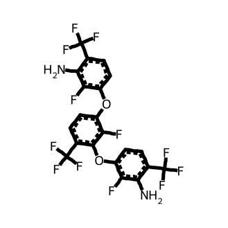 Nc1c(C(F)(F)F)ccc(Oc2ccc(C(F)(F)F)c(Oc3ccc(C(F)(F)F)c(N)c3F)c2F)c1F